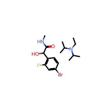 CCN(C(C)C)C(C)C.CNC(=O)C(O)c1ccc(Br)cc1F